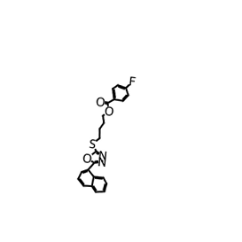 O=C(OCCCCSc1nnc(-c2cccc3ccccc23)o1)c1ccc(F)cc1